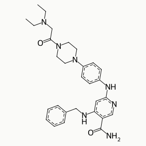 CCN(CC)CC(=O)N1CCN(c2ccc(Nc3cc(NCc4ccccc4)c(C(N)=O)cn3)cc2)CC1